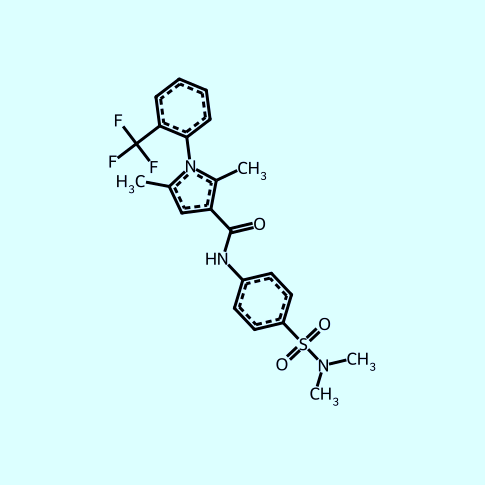 Cc1cc(C(=O)Nc2ccc(S(=O)(=O)N(C)C)cc2)c(C)n1-c1ccccc1C(F)(F)F